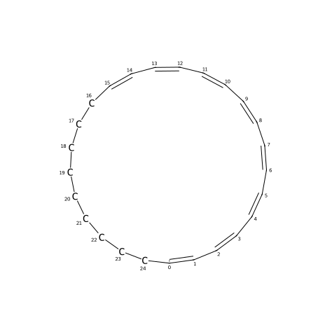 [C]1=C/C=C\C=C/C=C\C=C/C=C\C=C/C=C\CCCCCCCCC\1